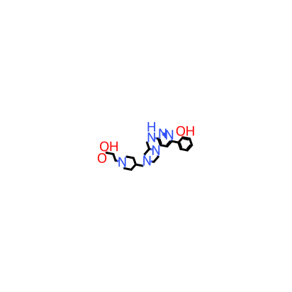 O=C(O)CCN1CCC(CN2CCN3c4cc(-c5ccccc5O)nnc4NCC3C2)CC1